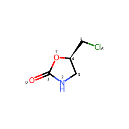 O=C1NC[C@H](CCl)O1